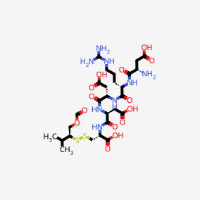 CC(C)[C@@H](COC=O)SSC[C@H](NC(=O)[C@H](CC(=O)O)NC(=O)[C@H](CC(=O)O)NC(=O)[C@H](CCCNC(N)N)NC(=O)[C@@H](N)CC(=O)O)C(=O)O